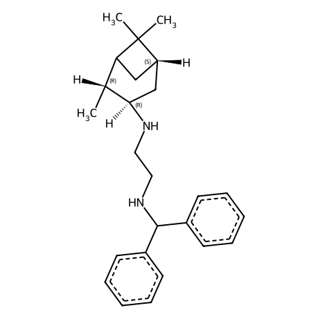 C[C@@H]1C2C[C@@H](C[C@H]1NCCNC(c1ccccc1)c1ccccc1)C2(C)C